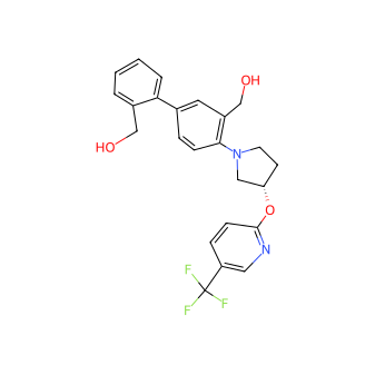 OCc1ccccc1-c1ccc(N2CC[C@H](Oc3ccc(C(F)(F)F)cn3)C2)c(CO)c1